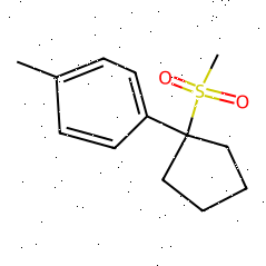 Cc1ccc(C2(S(C)(=O)=O)CCCC2)cc1